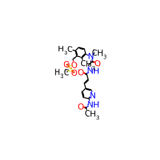 CC(=O)Nc1ccc(C=CC(=O)NCC(=O)N(C)c2ccc(C)c(COS(C)(=O)=O)c2C)cn1